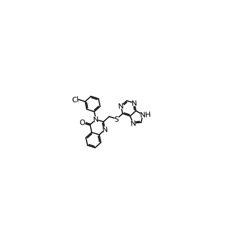 O=c1c2ccccc2nc(CSc2ncnc3[nH]cnc23)n1-c1cccc(Cl)c1